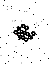 c1ccc(-c2c3cc(-n4c(-c5ccccc5)ccc4-c4ccccc4)ccc3c(-c3cccc4sc5ccccc5c34)c3cc(-n4c(-c5ccccc5)ccc4-c4ccccc4)ccc23)cc1